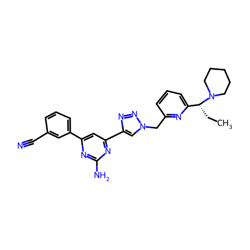 CC[C@H](c1cccc(Cn2cc(-c3cc(-c4cccc(C#N)c4)nc(N)n3)nn2)n1)N1CCCCC1